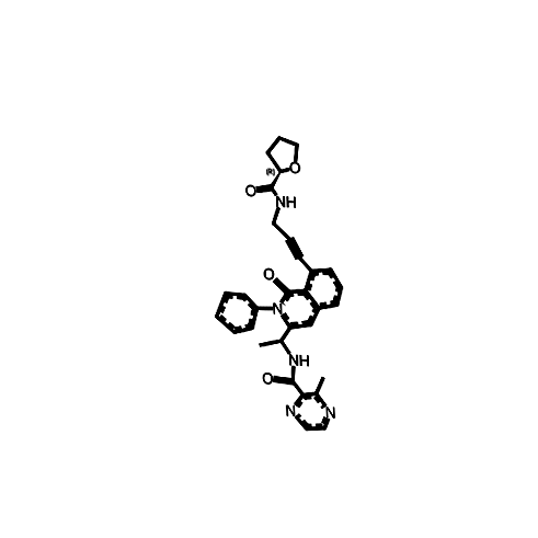 Cc1nccnc1C(=O)NC(C)c1cc2cccc(C#CCNC(=O)[C@H]3CCCO3)c2c(=O)n1-c1ccccc1